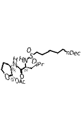 CCCCCCCCCCCCCCCS(=O)(=O)N[C@@H](CC(C)C)C(=O)N[C@H]1CCO[C@H]1OC(C)=O